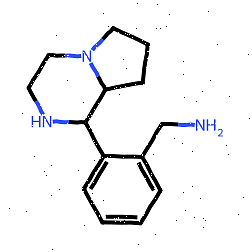 NCc1ccccc1C1NCCN2CCCC12